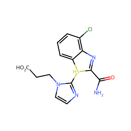 NC(=O)C1=Nc2c(Cl)cccc2[SH]1c1nccn1CCC(=O)O